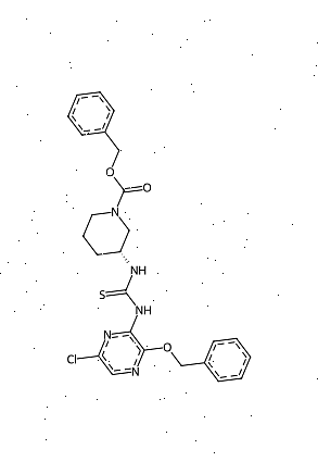 O=C(OCc1ccccc1)N1CCC[C@@H](NC(=S)Nc2nc(Cl)cnc2OCc2ccccc2)C1